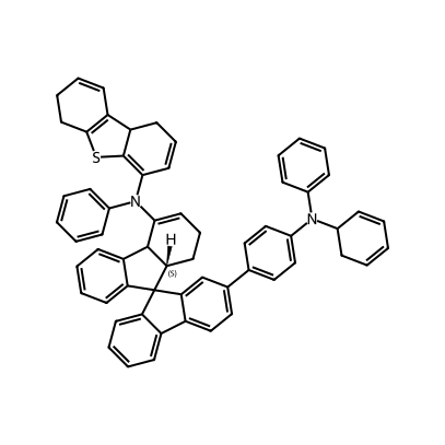 C1=CCC(N(c2ccccc2)c2ccc(-c3ccc4c(c3)C3(c5ccccc5-4)c4ccccc4C4C(N(C5=C6SC7=C(C=CCC7)C6CC=C5)c5ccccc5)=CCC[C@@H]43)cc2)C=C1